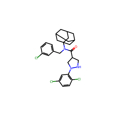 O=C(C1CNN(c2cc(Cl)ccc2Cl)C1)N(Cc1cccc(Cl)c1)C12CC3CC(CC(C3)C1)C2